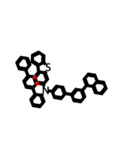 c1ccc(-c2ccc(-c3ccccc3N(c3ccc(-c4cccc(-c5cccc6ccccc56)c4)cc3)c3ccc4c(c3)sc3ccccc34)cc2)cc1